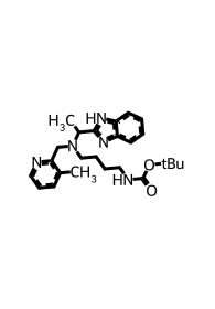 Cc1cccnc1CN(CCCCNC(=O)OC(C)(C)C)C(C)c1nc2ccccc2[nH]1